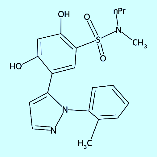 CCCN(C)S(=O)(=O)c1cc(-c2ccnn2-c2ccccc2C)c(O)cc1O